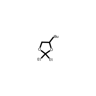 CCC(C)C1COC(CC)(CC)O1